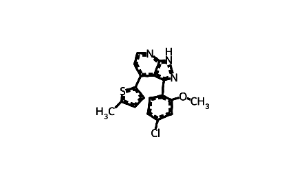 COc1cc(Cl)ccc1-c1n[nH]c2nccc(-c3ccc(C)s3)c12